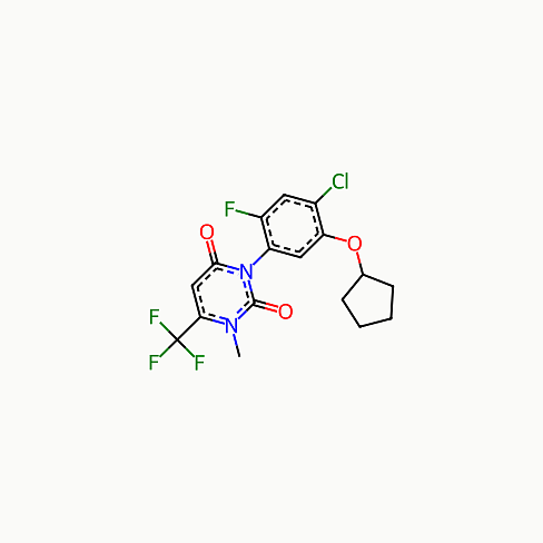 Cn1c(C(F)(F)F)cc(=O)n(-c2cc(OC3CCCC3)c(Cl)cc2F)c1=O